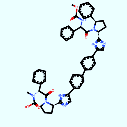 COC(=O)N[C@@H](C(=O)N1[C@@H](c2ccccc2)CC[C@@H]1c1ncc(-c2ccc(-c3ccc(-c4cnc([C@H]5CCCN5C(=O)[C@@H](c5ccccc5)N(C)C(=O)O)[nH]4)cc3)cc2)[nH]1)c1ccccc1